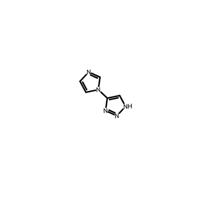 c1cn(-c2c[nH]nn2)cn1